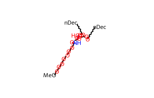 CCCCCCCCCCCCCCCCCC(=O)OCC(COP(=O)(O)OCCNC(=O)CCOCCOCCOCCOCCOCCOCCOCCOC)OC(=O)CCCCCCCCCCCCCCCCC